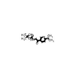 CN(C)c1ccc(C(=O)CNC(=O)OC(C)(C)C)cn1